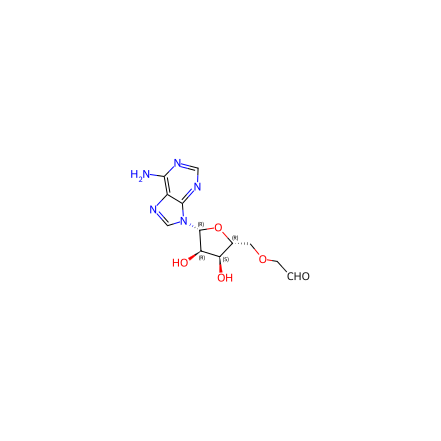 Nc1ncnc2c1ncn2[C@@H]1O[C@H](COCC=O)[C@@H](O)[C@H]1O